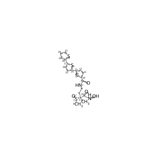 C[S+]([O-])C(C)(CCNC(=O)c1ccc(-c2ccc(-c3cccs3)s2)s1)C(=O)NO